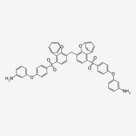 Nc1cccc(Oc2ccc(S(=O)(=O)c3ccc(Cc4ccc(S(=O)(=O)c5ccc(Oc6cccc(N)c6)cc5)c5c4Oc4ccc-5cc4)c4c3-c3ccc(cc3)O4)cc2)c1